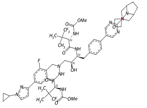 COC(=O)N[C@H](C(=O)N[C@@H](Cc1ccc(-c2cnc(N3CC4CCC(C3)N4C3COC3)nc2)cc1)[C@@H](O)CN(Cc1c(F)cc(-c2ccn(C3CC3)n2)cc1F)NC(=O)[C@@H](NC(=O)OC)C(C)(C)C(F)(F)F)C(C)(C)C(F)(F)F